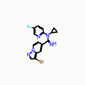 N=C(c1ccn2ncc(Br)c2c1)N(c1ccc(F)cn1)C1CC1